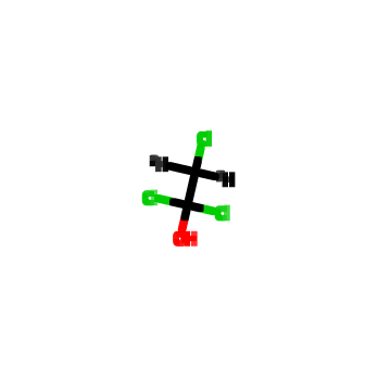 [2H]C([2H])(Cl)C(O)(Cl)Cl